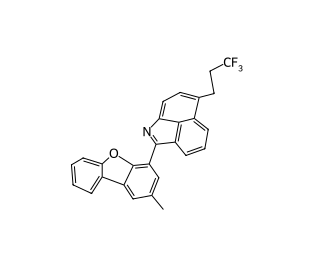 Cc1cc(C2=Nc3ccc(CCC(F)(F)F)c4cccc2c34)c2oc3ccccc3c2c1